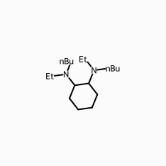 CCCCN(CC)C1CCCCC1N(CC)CCCC